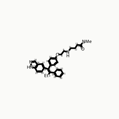 CC/C(=C(/c1ccc(OCCNCCCC(=O)NC)cc1)c1ccc2[nH]ncc2c1)c1ccccc1